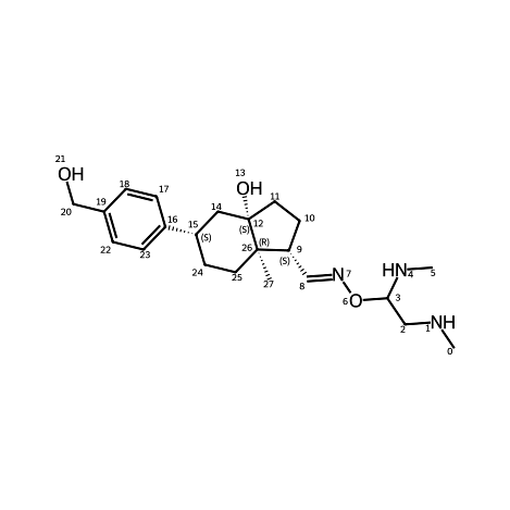 CNCC(NC)ON=C[C@H]1CC[C@]2(O)C[C@@H](c3ccc(CO)cc3)CC[C@]12C